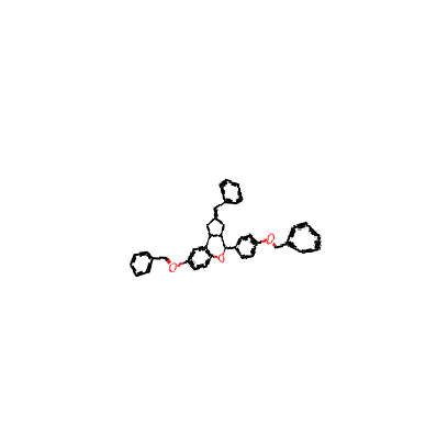 C(=C1\CC2c3cc(OCc4ccccc4)ccc3OC(c3ccc(OCc4ccccc4)cc3)C2C1)/c1ccccc1